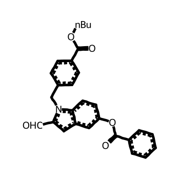 CCCCOC(=O)c1ccc(Cn2c(C=O)cc3cc(OC(=O)c4ccccc4)ccc32)cc1